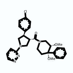 CO[C@H]1CN(C(=O)[C@@H]2CN(c3cccnn3)C[C@H]2c2ccc(Cl)cc2)CC[C@]1(OC)c1ccccc1